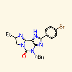 CCCCN1C(=O)N2CC(CC)N=C2c2[nH]c(-c3ccc(Br)cc3)nc21